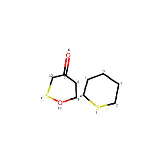 C1CCSCC1.O=C1CCOSC1